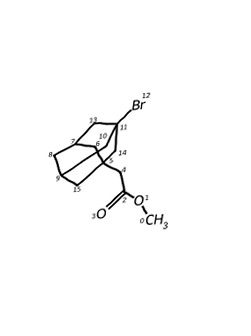 COC(=O)CC12CC3CC(CC(Br)(C3)C1)C2